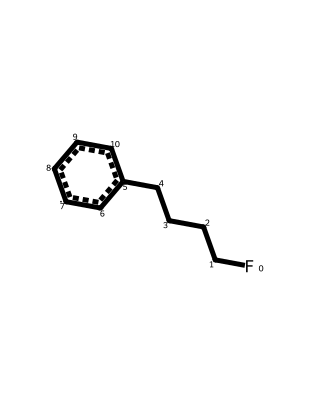 FCCCCc1c[c]ccc1